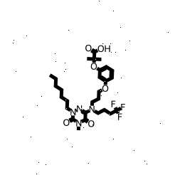 CCCCCCCn1nc(N(CCCOc2cccc(OC(C)(C)C(=O)O)c2)CCCC(F)(F)F)c(=O)n(C)c1=O